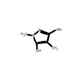 CCCCc1nn(C)c(O)c1C